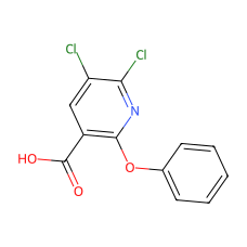 O=C(O)c1cc(Cl)c(Cl)nc1Oc1ccccc1